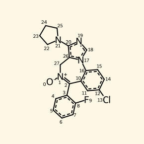 [O-][N+]1=C(c2ccccc2F)c2cc(Cl)ccc2-n2cnc(N3CCCC3)c2C1